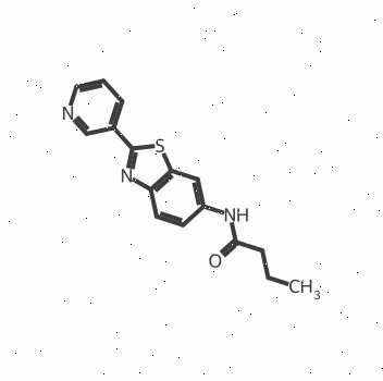 CCCC(=O)Nc1ccc2nc(-c3cccnc3)sc2c1